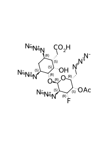 CC(=O)O[C@@H]1[C@H](F)[C@@H](N=[N+]=[N-])[C@@H](O[C@H]2[C@@H](O)[C@@H](CC(=O)O)[C@H](N=[N+]=[N-])C[C@@H]2N=[N+]=[N-])O[C@@H]1CN=[N+]=[N-]